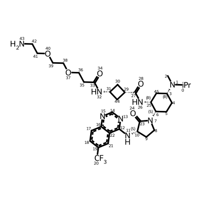 CC(C)N(C)[C@@H]1CC[C@H](N2CC[C@H](Nc3ncnc4ccc(C(F)(F)F)cc34)C2=O)[C@H](NC(=O)[C@H]2C[C@@H](NC(=O)CCOCCOCCN)C2)C1